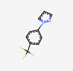 FC(F)(F)c1ccc(-n2cc[c]n2)cc1